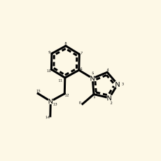 Cc1nncn1-c1ccccc1CN(C)C